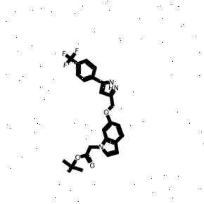 CC(C)(C)OC(=O)Cn1ccc2ccc(OCc3cc(-c4ccc(C(F)(F)F)cc4)[nH]n3)cc21